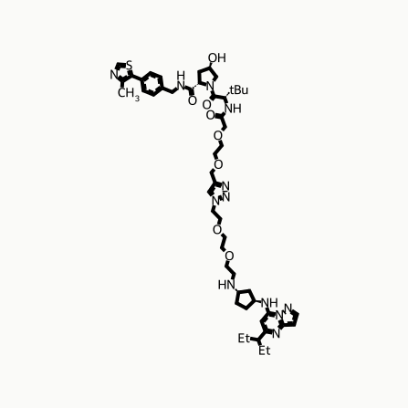 CCC(CC)c1cc(N[C@H]2CC[C@H](NCCOCCOCCn3cc(COCCOCC(=O)N[C@H](C(=O)N4C[C@H](O)C[C@H]4C(=O)NCc4ccc(-c5scnc5C)cc4)C(C)(C)C)nn3)C2)n2nccc2n1